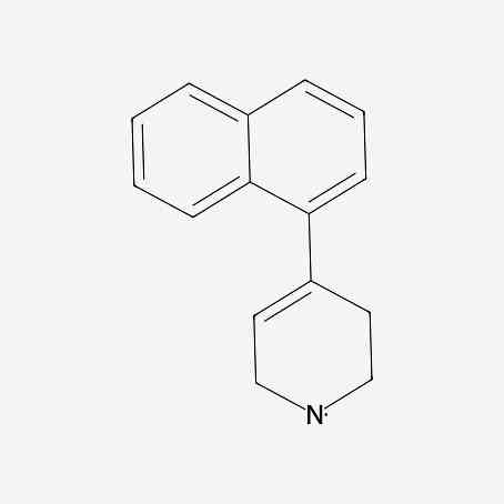 C1=C(c2cccc3ccccc23)CC[N]C1